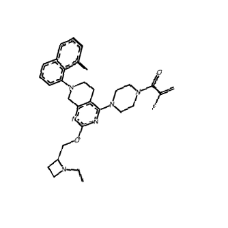 C=C(F)C(=O)N1CCN(c2nc(OCC3CCN3CC)nc3c2CCN(c2cccc4cccc(C)c24)C3)CC1